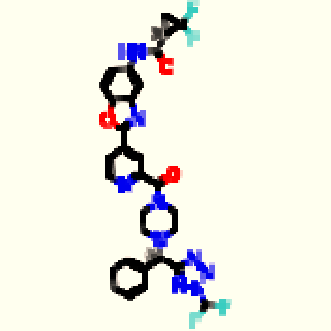 O=C(Nc1ccc2oc(-c3ccnc(C(=O)N4CCN([C@@H](c5ccccc5)c5nnn(C(F)F)n5)CC4)c3)nc2c1)[C@@H]1CC1(F)F